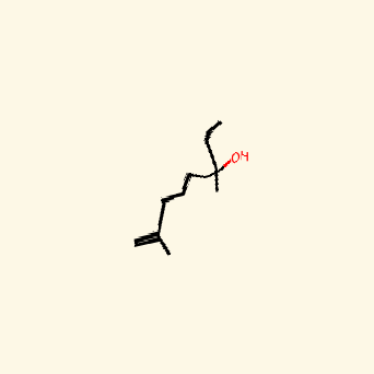 C=C(C)CCCC(C)(O)CC